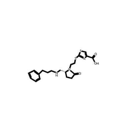 O=C(O)c1csc(SCCN2C(=O)CC[C@@H]2CNCCCc2ccccc2)n1